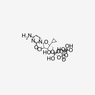 Nc1ccn([C@@H]2O[C@@](COP(=O)(O)OP(=O)(O)OP(=O)(O)O)(C3CC3)[C@@H](O)[C@H]2Cl)c(=O)n1